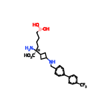 N[C@](CCCCB(O)O)(C(=O)O)C1CC(NCc2ccc(-c3ccc(C(F)(F)F)cc3)cc2)C1